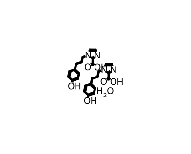 O.O=C(O)c1nccn1CCCc1ccc(O)cc1.O=C(O)c1nccn1CCCc1ccc(O)cc1